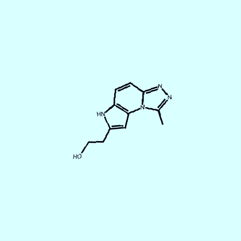 Cc1nnc2ccc3[nH]c(CCO)cc3n12